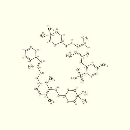 Cc1ccc(S(=O)(=O)O)c(Cc2ncc(C)c(OCC3COC(C)(C)OC3)c2C)c1.Cc1cnc(CSc2nc3ccccc3[nH]2)c(C)c1OCC1COC(C)(C)OC1